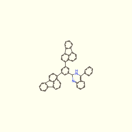 c1ccc(C2=c3ccccc3=NC(c3cc(-c4ccc5c6c(cccc46)-c4ccccc4-5)cc(-c4ccc5c6c(cccc46)-c4ccccc4-5)c3)N2)cc1